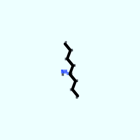 CCCCCCCC.N